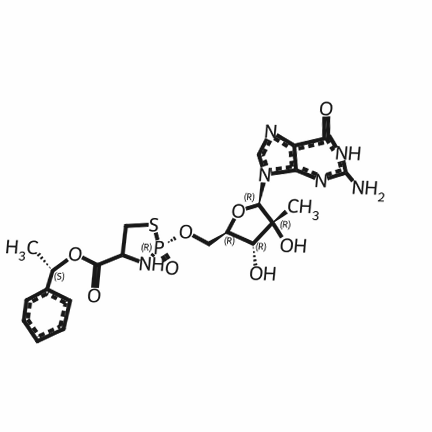 C[C@H](OC(=O)C1CS[P@](=O)(OC[C@H]2O[C@@H](n3cnc4c(=O)[nH]c(N)nc43)[C@](C)(O)[C@@H]2O)N1)c1ccccc1